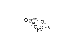 Cc1nc2ccccn2c1-c1csc(Nc2ccc(C(=O)Nc3nn(-c4ccccc4)cc3N)cc2)n1